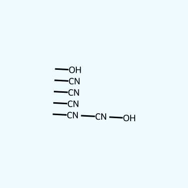 CC#N.CC#N.CC#N.CC#N.CC#N.CO.CO